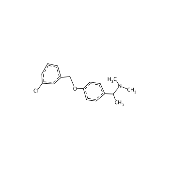 CC(c1ccc(OCc2cccc(Cl)c2)cc1)N(C)C